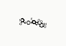 COc1ncccc1CN1CCN(c2cc3c(cc2F)C(=O)N(C2CCC(=O)NC2=O)C3)CC1